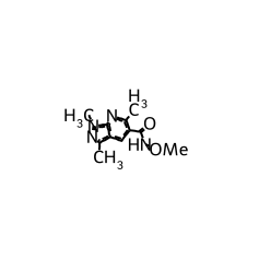 CONC(=O)c1cc2c(C)nn(C)c2nc1C